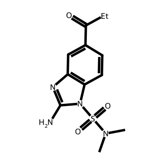 CCC(=O)c1ccc2c(c1)nc(N)n2S(=O)(=O)N(C)C